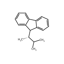 C[C](C)[C@H](C)C1c2ccccc2-c2ccccc21